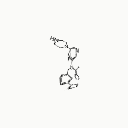 CC(=O)N(Cc1cccc(Cl)c1)c1cncc(N2CCNCC2)n1